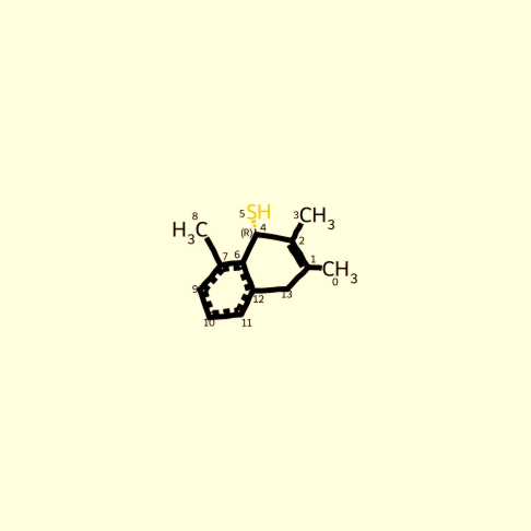 CC1=C(C)[C@@H](S)c2c(C)cccc2C1